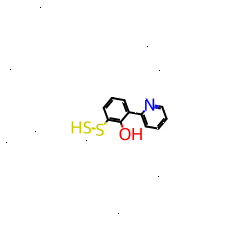 Oc1c(SS)cccc1-c1ccccn1